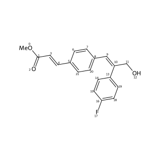 COC(=O)C=Cc1ccc(C=C(CO)c2ccc(F)cc2)cc1